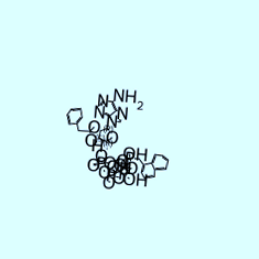 Nc1ncnc2c1ncn2[C@@H]1O[C@H](COP(=O)(O)OP(=O)(O)OP(=O)(O)OP(=O)(O)Cc2cccc3ccccc23)[C@@H]2OC(Cc3ccccc3)OC21